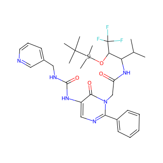 CC(C)C(NC(=O)Cn1c(-c2ccccc2)ncc(NC(=O)NCc2cccnc2)c1=O)C(O[Si](C)(C)C(C)(C)C)C(F)(F)F